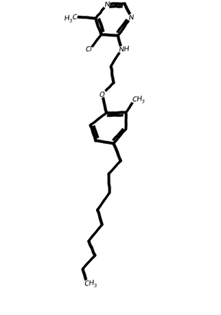 CCCCCCCCCc1ccc(OCCNc2ncnc(C)c2Cl)c(C)c1